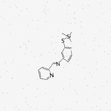 C[Si](C)(C)Sc1cccc(N=Cc2ccccn2)c1